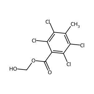 Cc1c(Cl)c(Cl)c(C(=O)OCO)c(Cl)c1Cl